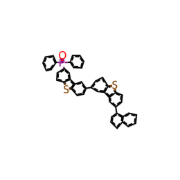 O=P(c1ccccc1)(c1ccccc1)c1ccc2sc3ccc(-c4ccc5sc6ccc(-c7cccc8ccccc78)cc6c5c4)cc3c2c1